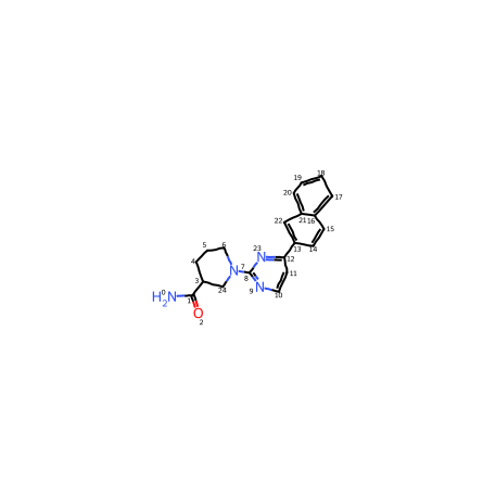 NC(=O)C1CCCN(c2nccc(-c3ccc4ccccc4c3)n2)C1